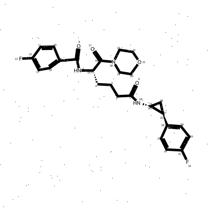 O=C(CCC[C@H](NC(=O)c1ccc(F)cc1)C(=O)N1CCOCC1)N[C@@H]1C[C@H]1c1ccc(F)cc1